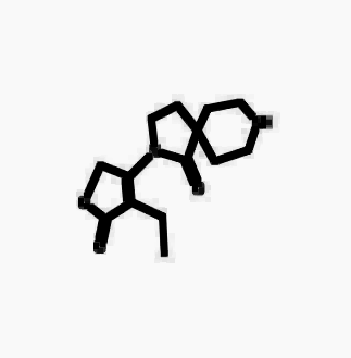 CCC1=C(N2CCC3(CCNCC3)C2=O)COC1=O